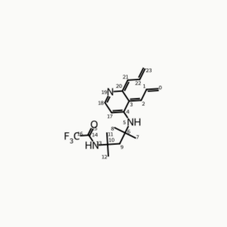 C=C/C=c1/c(NC(C)(C)CC(C)(C)NC(=O)C(F)(F)F)ccn/c1=C/C=C